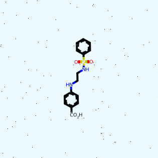 O=C(O)c1ccc(NCCNS(=O)(=O)c2ccccc2)cc1